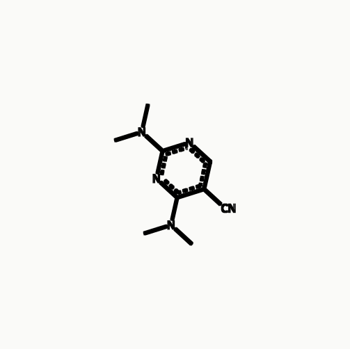 CN(C)c1ncc(C#N)c(N(C)C)n1